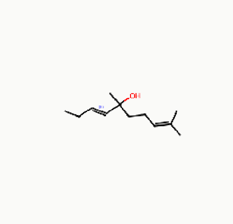 CC/C=C/C(C)(O)CCC=C(C)C